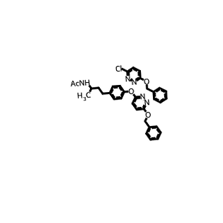 CC(=O)NC(C)CCc1ccc(Oc2ccc(OCc3ccccc3)nn2)cc1.Clc1ccc(OCc2ccccc2)nn1